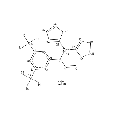 C=C[CH](c1cc(C(C)(C)C)cc(C(C)(C)C)c1)[Zr+]([C]1=CC=CC1)[C]1=CC=CC1.[Cl-]